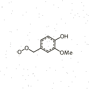 COc1cc(CO[O])ccc1O